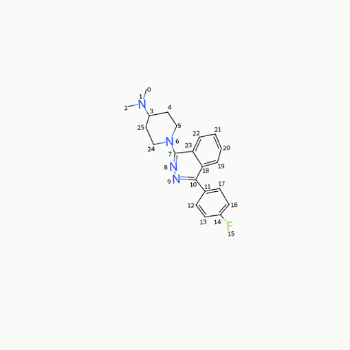 CN(C)C1CCN(c2nnc(-c3ccc(F)cc3)c3ccccc23)CC1